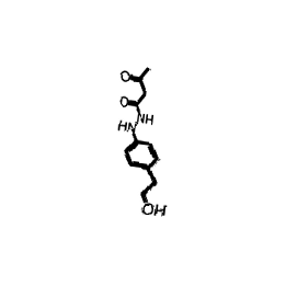 CC(=O)CC(=O)NNc1ccc(CCO)cc1